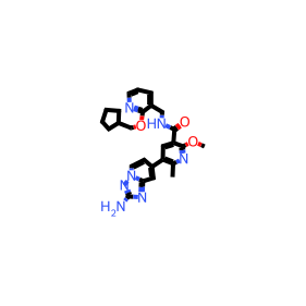 COc1nc(C)c(-c2ccn3nc(N)nc3c2)cc1C(=O)NCc1cccnc1OCC1CCCC1